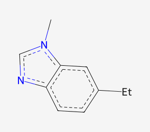 CCc1ccc2ncn(C)c2c1